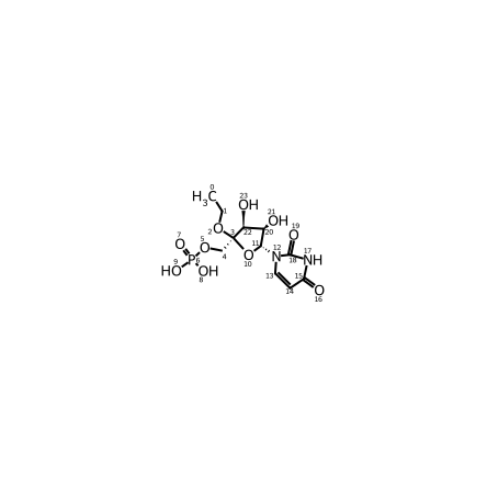 CCO[C@]1(COP(=O)(O)O)O[C@@H](n2ccc(=O)[nH]c2=O)[C@H](O)[C@@H]1O